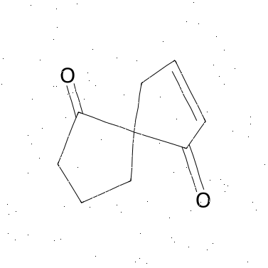 O=C1C=CCC12CCCC2=O